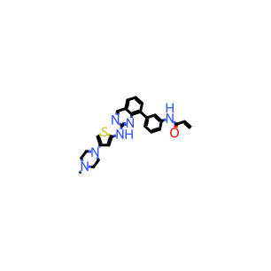 C=CC(=O)Nc1cccc(-c2cccc3cnc(Nc4cc(N5CCN(C)CC5)cs4)nc23)c1